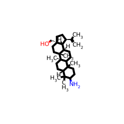 C=C(C)[C@@H]1CC[C@]2(CO)CC[C@]3(C)[C@H](CCC4C5(C)CCC(N)C(C)(C)[C@@H]5CC[C@]43C)[C@@H]12